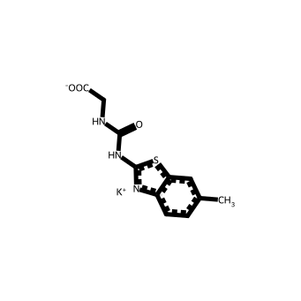 Cc1ccc2nc(NC(=O)NCC(=O)[O-])sc2c1.[K+]